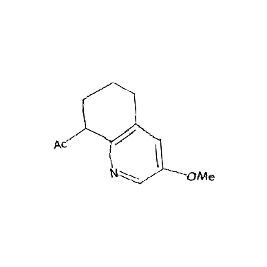 COc1cnc2c(c1)CCCC2C(C)=O